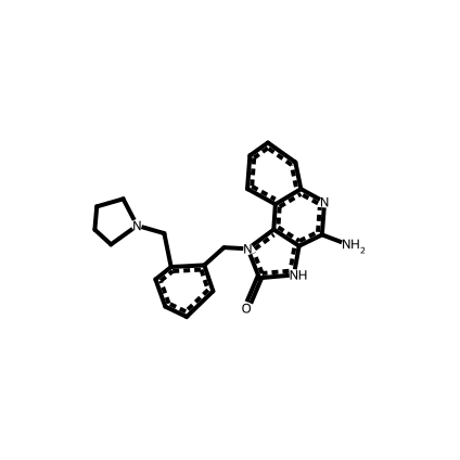 Nc1nc2ccccc2c2c1[nH]c(=O)n2Cc1ccccc1CN1CCCC1